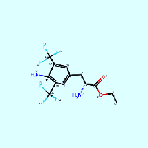 CCOC(=O)[C@H](N)Cc1cc(C(F)(F)F)c(N)c(C(F)(F)F)c1